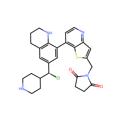 O=C1CCC(=O)N1Cc1cc2nccc(-c3cc([C@@H](Cl)C4CCNCC4)cc4c3NCCC4)c2s1